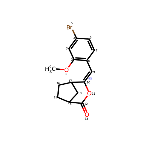 COc1cc(Br)ccc1/C=C1/OC(=O)C2CCC1C2